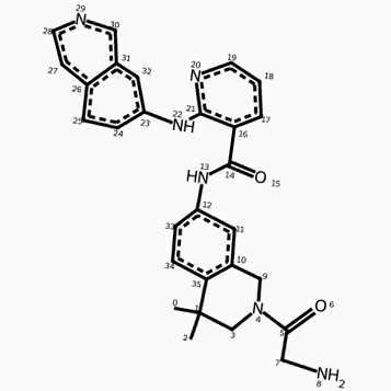 CC1(C)CN(C(=O)CN)Cc2cc(NC(=O)c3cccnc3Nc3ccc4ccncc4c3)ccc21